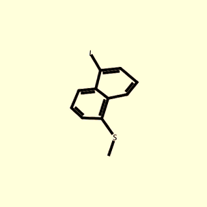 CSc1cccc2c(I)cccc12